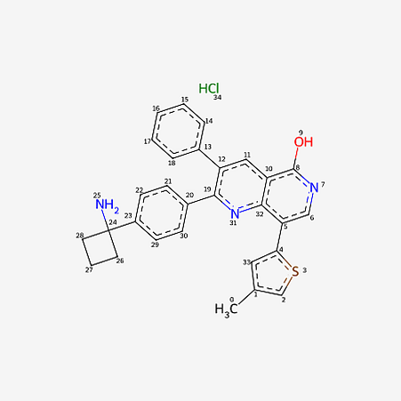 Cc1csc(-c2cnc(O)c3cc(-c4ccccc4)c(-c4ccc(C5(N)CCC5)cc4)nc23)c1.Cl